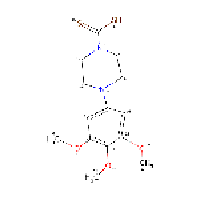 COc1cc(N2CCN(C(=S)S)CC2)cc(OC)c1OC